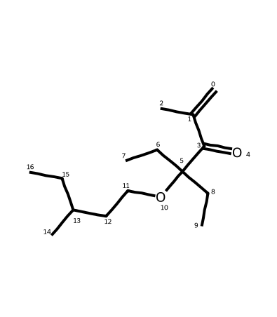 C=C(C)C(=O)C(CC)(CC)OCCC(C)CC